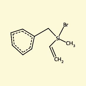 C=C[Si](C)(Br)Cc1ccccc1